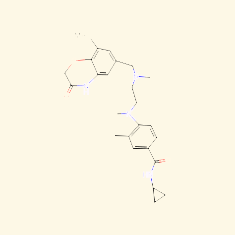 CCN(CCN(C)Cc1cc2c(c(OC)c1)OCC(=O)N2)c1ccc(C(=O)NC2CC2)cc1C